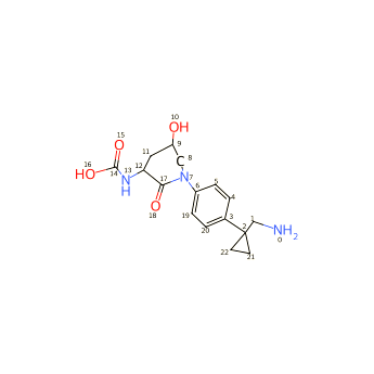 NCC1(c2ccc(N3CC(O)CC(NC(=O)O)C3=O)cc2)CC1